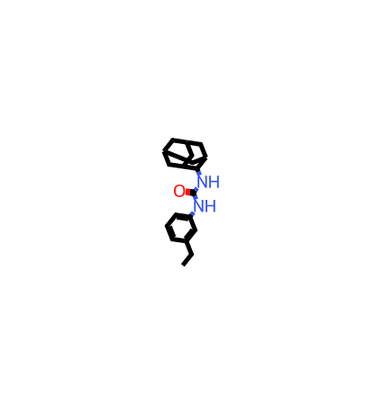 CCc1cccc(NC(=O)NC2C3CC4CC(C3)CC2C4)c1